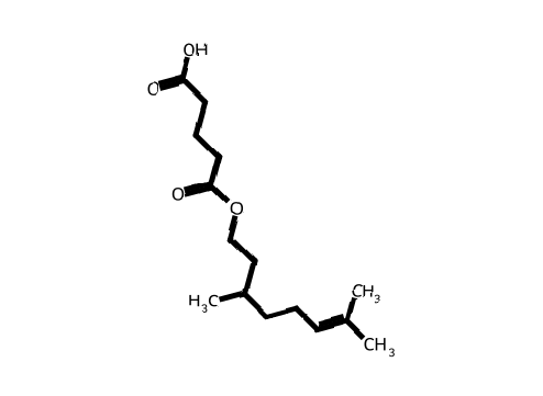 CC(C)=CCCC(C)CCOC(=O)CCCC(=O)O